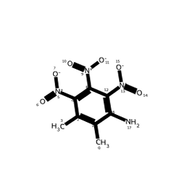 Cc1c(C)c([N+](=O)[O-])c([N+](=O)[O-])c([N+](=O)[O-])c1N